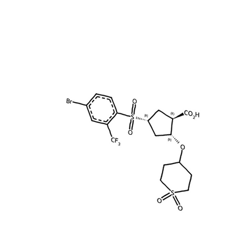 O=C(O)[C@@H]1C[C@@H](S(=O)(=O)c2ccc(Br)cc2C(F)(F)F)C[C@H]1OC1CCS(=O)(=O)CC1